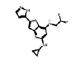 FC(F)CNc1cc(NC2CC2)nc2cc(-c3ccn[nH]3)sc12